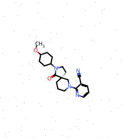 COC1CCC(N2CC[C@]3(CCCN(c4ncccc4C#N)C3)C2=O)CC1